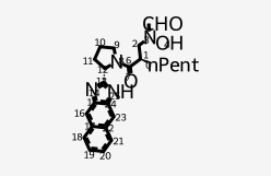 CCCCC[C@H](CN(O)C=O)C(=O)N1CCC[C@H]1c1nc2cc3ccccc3cc2[nH]1